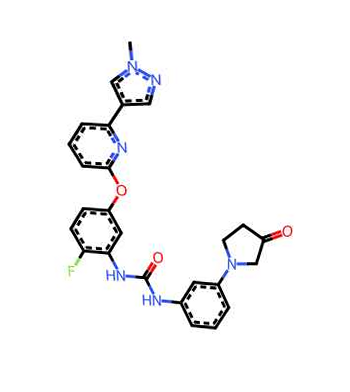 Cn1cc(-c2cccc(Oc3ccc(F)c(NC(=O)Nc4cccc(N5CCC(=O)C5)c4)c3)n2)cn1